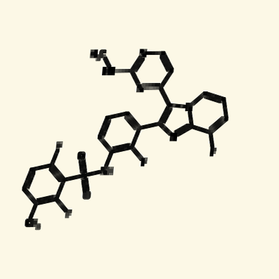 CNc1nccc(-c2c(-c3cccc(NS(=O)(=O)c4c(F)ccc(C)c4F)c3F)nc3c(F)cccn23)n1